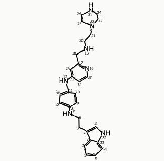 c1ccc2c(CCNc3ccc(Nc4ccnc(CNCCN5CCNCC5)c4)cc3)c[nH]c2c1